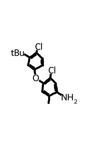 Cc1cc(Oc2ccc(Cl)c(C(C)(C)C)c2)c(Cl)cc1N